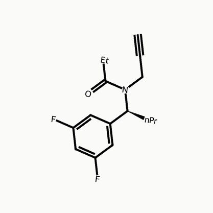 C#CCN(C(=O)CC)[C@@H](CCC)c1cc(F)cc(F)c1